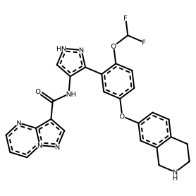 O=C(Nc1c[nH]nc1-c1cc(Oc2ccc3c(c2)CNCC3)ccc1OC(F)F)c1cnn2cccnc12